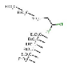 CCOC(=O)CC(Cl)Cl.CCOC(C)=O.CCOC(C)=O.CCOC(C)=O.CCOC(C)=O.CCOC(C)=O.CCOC(C)=O.CCOC(C)=O.CCOC(C)=O